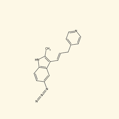 Cc1[nH]c2ccc(N=[N+]=[N-])cc2c1C=CCc1ccncc1